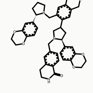 O=C1NCCc2cc(CN3CC(c4cc5c(cc4CN4CCC[C@H]4c4ccc6c(c4)OCCO6)CCNC5)C[C@H]3c3ccc4c(c3)OCCO4)ccc21